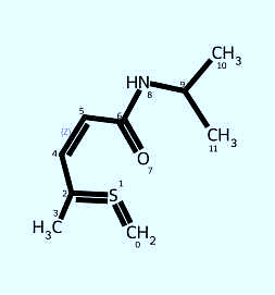 C=S=C(C)/C=C\C(=O)NC(C)C